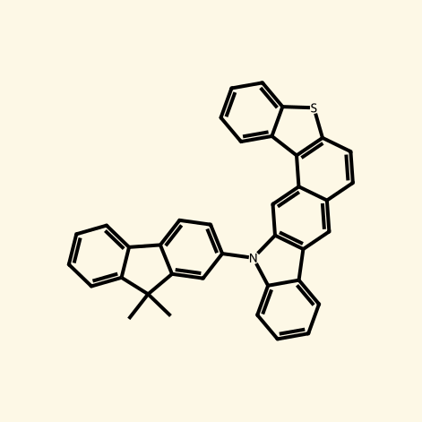 CC1(C)c2ccccc2-c2ccc(-n3c4ccccc4c4cc5ccc6sc7ccccc7c6c5cc43)cc21